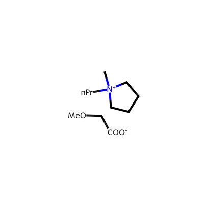 CCC[N+]1(C)CCCC1.COCC(=O)[O-]